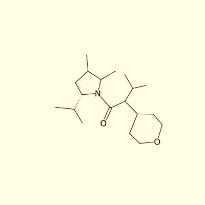 CC(C)C(C(=O)N1C(C)C(C)C[C@H]1C(C)C)C1CCOCC1